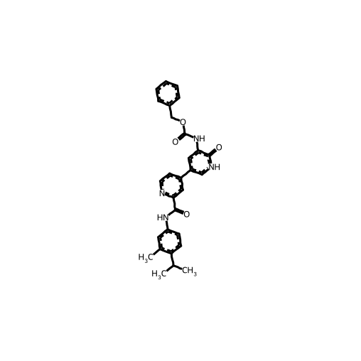 Cc1cc(NC(=O)c2cc(-c3c[nH]c(=O)c(NC(=O)OCc4ccccc4)c3)ccn2)ccc1C(C)C